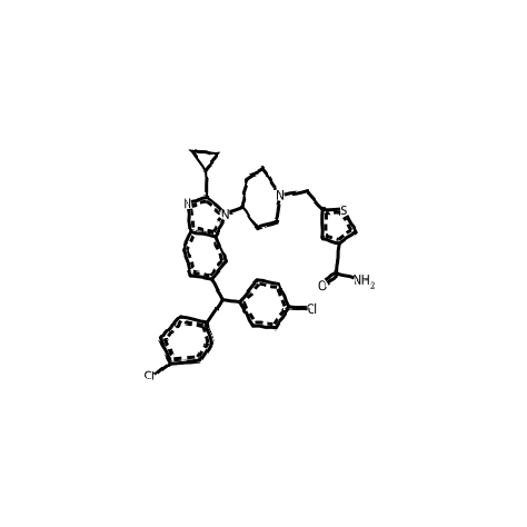 NC(=O)c1csc(CN2CCC(n3c(C4CC4)nc4ccc(C(c5ccc(Cl)cc5)c5ccc(Cl)cc5)cc43)CC2)c1